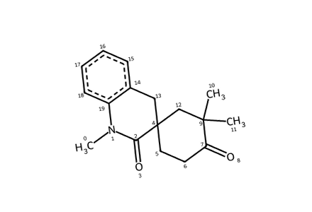 CN1C(=O)C2(CCC(=O)C(C)(C)C2)Cc2ccccc21